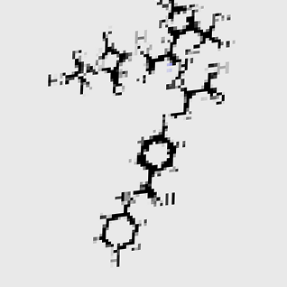 C[C@H]1[C@H](NC(=O)/C(=N\OC(COc2ccc(C(=N)NC3CCNCC3)cc2)C(=O)O)c2nc(N)sc2C(F)(F)F)C(=O)N1S(=O)(=O)O